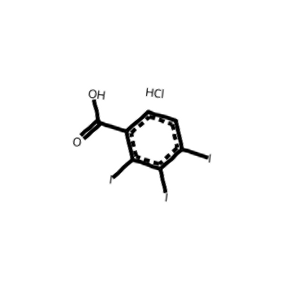 Cl.O=C(O)c1ccc(I)c(I)c1I